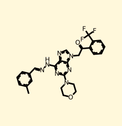 Cc1cccc(C=NNc2nc(N3CCOCC3)nc3c2ncn3CC(=O)c2ccccc2C(F)(F)F)c1